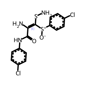 NS/C(=C(\N)C(=O)Nc1ccc(Cl)cc1)[S+]([O-])c1ccc(Cl)cc1